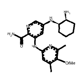 COc1c(C)cc(Nc2cc(N[C@@H]3CCCC[C@@H]3N)cnc2C(N)=O)nc1C